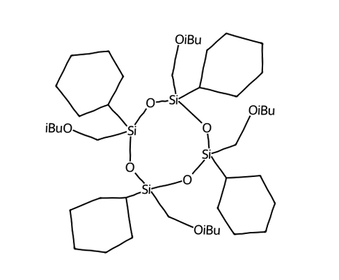 CC(C)COC[Si]1(C2CCCCC2)O[Si](COCC(C)C)(C2CCCCC2)O[Si](COCC(C)C)(C2CCCCC2)O[Si](COCC(C)C)(C2CCCCC2)O1